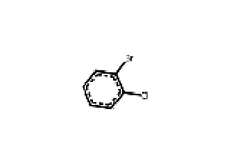 Clc1[c]cccc1Br